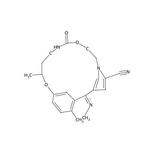 C/N=C1/c2cc(C#N)n(c2)CCOC(=O)NCCC(C)Oc2ccc(C)c1c2